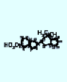 CC1(C)CC(c2ccc3cc(C(=O)O)ccc3c2)Cc2ccccc21